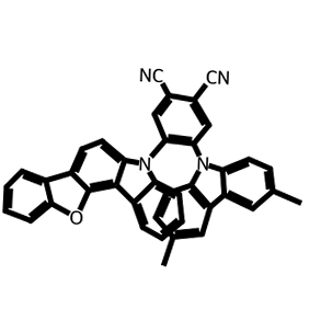 Cc1ccc2c(c1)c1cc(C)ccc1n2-c1cc(C#N)c(C#N)cc1-n1c2ccccc2c2c3oc4ccccc4c3ccc21